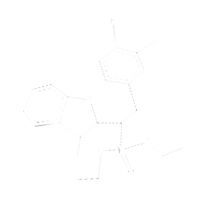 CCOP(=O)(OCC)C(Cc1ccc(F)c(F)c1)C1Sc2ccccc2C1C